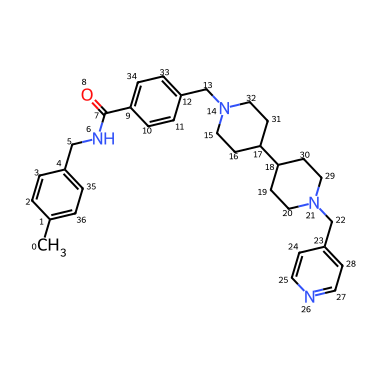 Cc1ccc(CNC(=O)c2ccc(CN3CCC(C4CCN(Cc5ccncc5)CC4)CC3)cc2)cc1